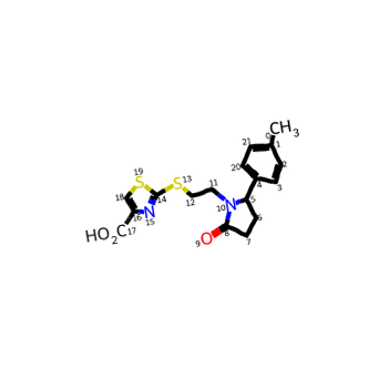 Cc1ccc(C2CCC(=O)N2CCSc2nc(C(=O)O)cs2)cc1